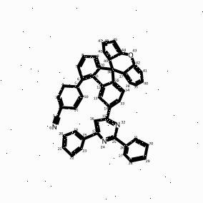 N#CC1=CCC(c2cccc3c2-c2cc(-c4cc(-c5ccccc5)nc(-c5ccccc5)n4)ccc2C32c3ccccc3Oc3ccccc32)C=C1